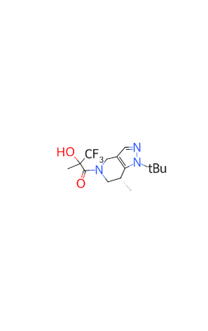 C[C@@H]1CN(C(=O)C(C)(O)C(F)(F)F)Cc2cnn(C(C)(C)C)c21